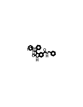 O=C1Nc2ccc(C(=O)NCc3ccccc3)cc2/C1=C(/N[C@H]1CN2CCC1CC2)c1ccccc1